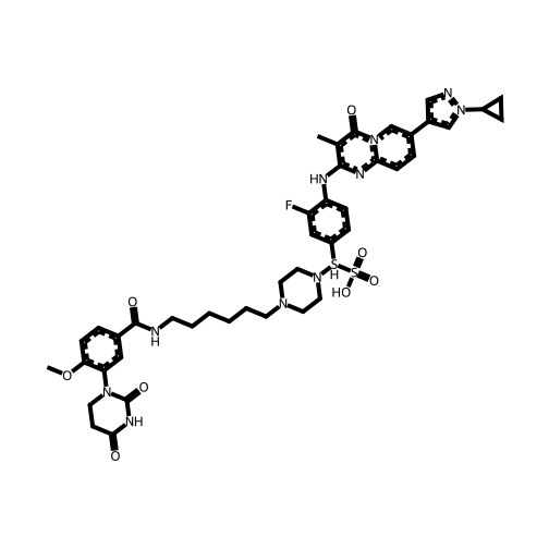 COc1ccc(C(=O)NCCCCCCN2CCN([SH](c3ccc(Nc4nc5ccc(-c6cnn(C7CC7)c6)cn5c(=O)c4C)c(F)c3)S(=O)(=O)O)CC2)cc1N1CCC(=O)NC1=O